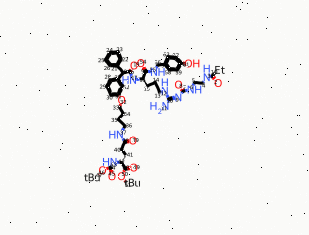 CCC(=O)NCCNC(=O)/N=C(/N)NCCC[C@@H](NC(=O)C(c1ccccc1)c1cccc(OCCCCNC(=O)CC[C@@H](NC(=O)OC(C)(C)C)C(=O)OC(C)(C)C)c1)C(=O)NCc1ccc(O)cc1